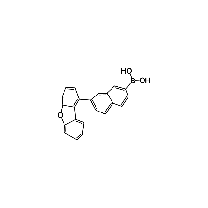 OB(O)c1ccc2ccc(-c3cccc4oc5ccccc5c34)cc2c1